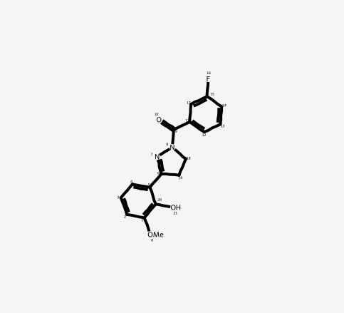 COc1cccc(C2=NN(C(=O)c3cccc(F)c3)CC2)c1O